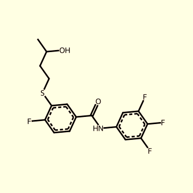 CC(O)CCSc1cc(C(=O)Nc2cc(F)c(F)c(F)c2)ccc1F